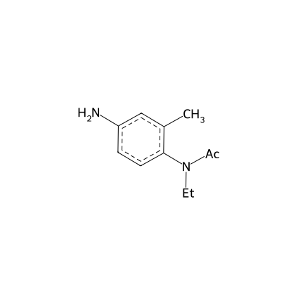 CCN(C(C)=O)c1ccc(N)cc1C